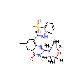 [2H]C1([2H])OC([2H])([2H])C([2H])([2H])N(c2nc3c([C@@H](C)Nc4ccccc4S(C)(=O)=O)cc(C)cc3c(=O)n2C)C1([2H])[2H]